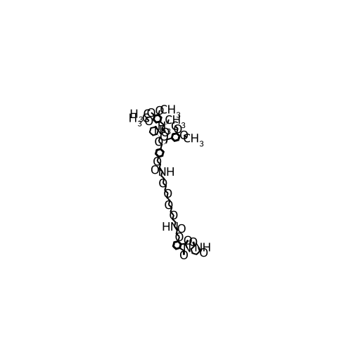 CC[C@H](C(=O)N1CCCC[C@H]1C(=O)O[C@H](CCc1ccc(OC)c(OC)c1)c1ccc(OCC(=O)NCCOCCOCCOCCOCCNC(=O)COc2cccc3c2C(=O)N(C2CCC(=O)NC2=O)C3=O)cc1)c1cc(OC)c(OC)c(OC)c1